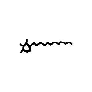 CCCCCCCCCCCCc1ccc(C)c(C)c1C